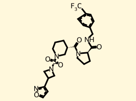 O=C(NCc1ccc(C(F)(F)F)cc1)[C@H]1CCCN1C(=O)[C@H]1CCCN(S(=O)(=O)N2CC(c3ccon3)C2)C1